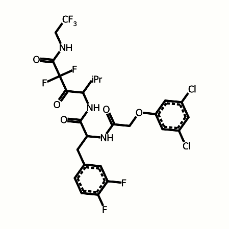 CC(C)C(NC(=O)C(Cc1ccc(F)c(F)c1)NC(=O)COc1cc(Cl)cc(Cl)c1)C(=O)C(F)(F)C(=O)NCC(F)(F)F